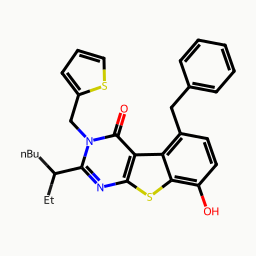 CCCCC(CC)c1nc2sc3c(O)ccc(Cc4ccccc4)c3c2c(=O)n1Cc1cccs1